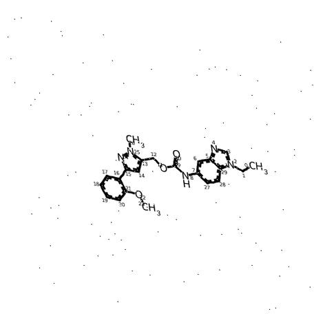 CCn1cnc2cc(NC(=O)OCc3cc(-c4ccccc4OC)nn3C)ccc21